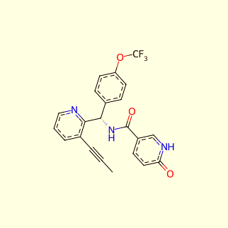 CC#Cc1cccnc1[C@@H](NC(=O)c1ccc(=O)[nH]c1)c1ccc(OC(F)(F)F)cc1